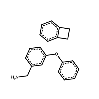 NCc1cccc(Oc2ccccc2)c1.c1ccc2c(c1)CC2